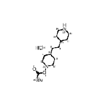 CC(C)(C)C(=O)ON1CCC(CCC2CCNCC2)CC1.Cl